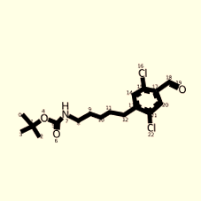 CC(C)(C)OC(=O)NCCCCCc1cc(Cl)c(C=O)cc1Cl